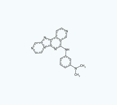 CN(C)c1cccc(Nc2nc3c(nc4cnccn43)c3ccncc23)c1